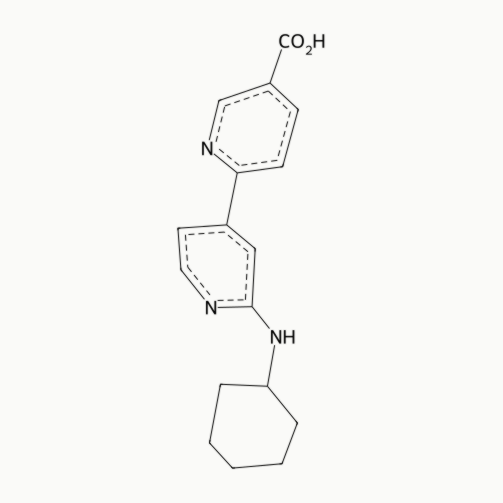 O=C(O)c1ccc(-c2ccnc(NC3CCCCC3)c2)nc1